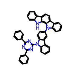 c1ccc(-c2nc(-c3ccccc3)nc(-n3c4ccccc4c4cc(-n5c6ccccc6c6ccc7c8ccccc8[nH]c7c65)ccc43)n2)cc1